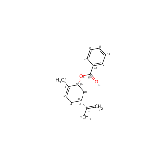 C=C(C)[C@@H]1CC=C(C)[C@H](OC(=O)c2ccccc2)C1